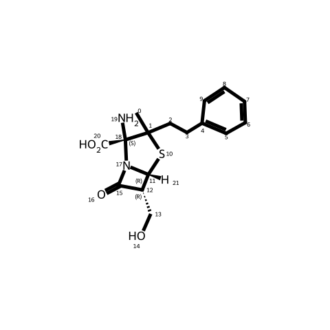 CC1(CCc2ccccc2)S[C@@H]2[C@H](CO)C(=O)N2[C@@]1(N)C(=O)O